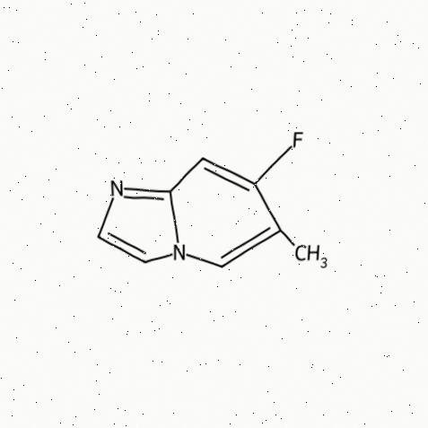 Cc1cn2ccnc2cc1F